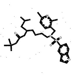 Cc1ccc(CN(CCCCC(CC(=O)CC(C)(C)C)CC(C)C)S(=O)(=O)c2ccc3occc3c2)c(C)n1